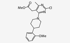 COC(=O)Cc1c(C)nc(Cl)nc1N1CCC(c2ccccc2OC)CC1